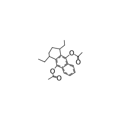 CCC1CCC(CC)c2c1c(OC(C)=O)c1ccccc1c2OC(C)=O